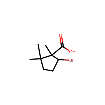 CC1(C)CCC(Br)C1(C)C(=O)O